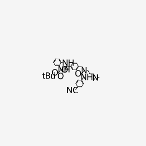 CN(C)CCCN(Cc1ccc(C(=O)Nc2ccccc2NC(=O)OC(C)(C)C)cc1)C(=O)Nc1ccc(C#N)cc1